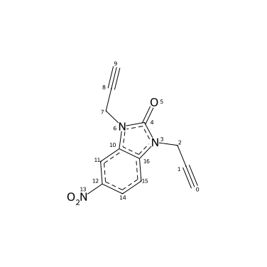 C#CCn1c(=O)n(CC#C)c2cc([N+](=O)[O-])ccc21